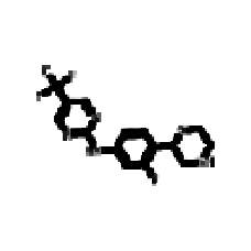 Fc1cc(Nc2ncc(C(F)(F)F)cn2)ccc1C1CNCCO1